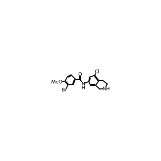 COc1ccc(C(=O)Nc2cc(Cl)c3c(c2)CNCC3)cc1Br